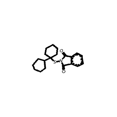 O=C1c2ccccc2C(=O)N1SC1(C2CCCCC2)CCCCC1